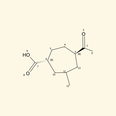 CC(=O)[C@@H]1CC[C@@H](C(=O)O)CC(C)C1